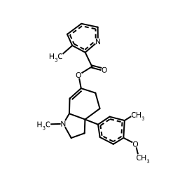 COc1ccc(C23CCC(OC(=O)c4ncccc4C)=CC2N(C)CC3)cc1C